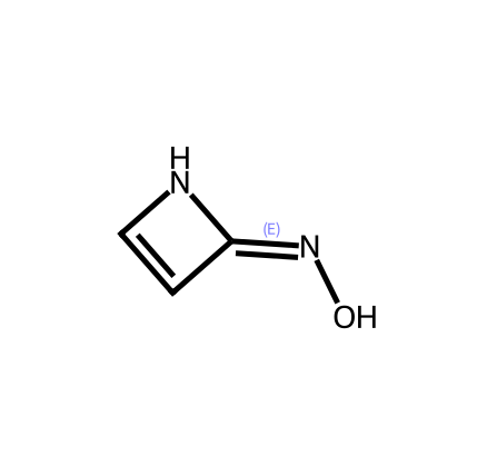 O/N=C1\C=CN1